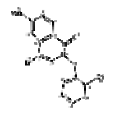 CSc1ncc2c(=O)n(Cc3ccccc3C#N)cc(Br)c2n1